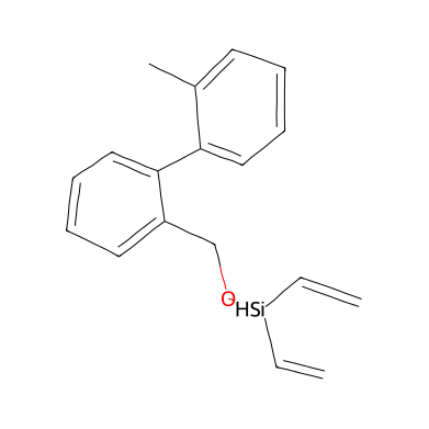 C=C[SiH](C=C)OCc1ccccc1-c1ccccc1C